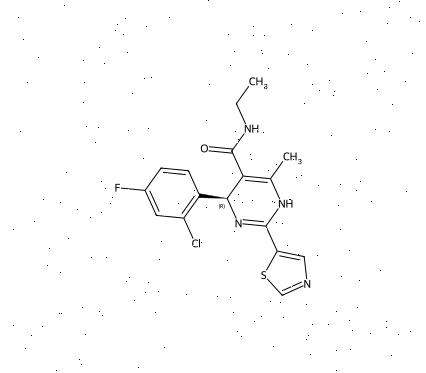 CCNC(=O)C1=C(C)NC(c2cncs2)=N[C@H]1c1ccc(F)cc1Cl